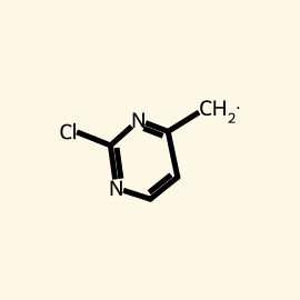 [CH2]c1ccnc(Cl)n1